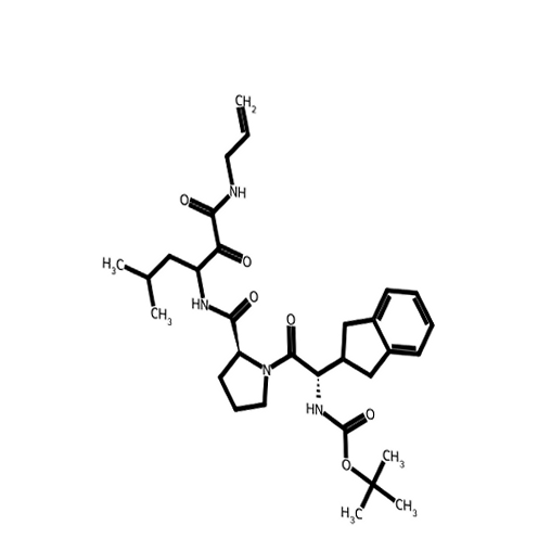 C=CCNC(=O)C(=O)C(CC(C)C)NC(=O)[C@@H]1CCCN1C(=O)[C@@H](NC(=O)OC(C)(C)C)C1Cc2ccccc2C1